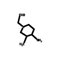 CC1CN(CC=O)CCC1N